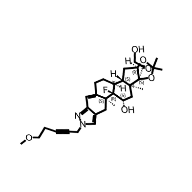 COCCC#CCn1cc2c(n1)C=C1CC[C@H]3[C@@H]4C[C@H]5OC(C)(C)O[C@@]5(C(=O)CO)[C@@]4(C)C[C@H](O)[C@]3(F)[C@@]1(C)C2